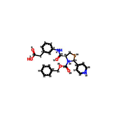 O=C(O)Cc1cccc(NC(=O)[C@@H]2CSC(c3ccncc3)N2C(=O)OCc2ccccc2)c1